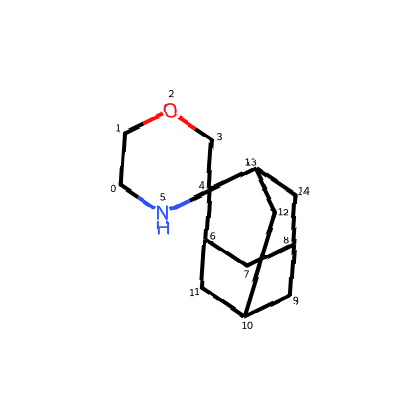 C1COCC2(N1)C1CC3CC(C1)CC2C3